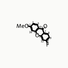 COc1ccc2c(=O)c3ccc(F)cc3oc2c1